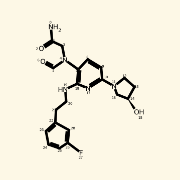 NC(=O)CN(C=O)c1ccc(N2CC[C@@H](O)C2)nc1NCCc1cccc(F)c1